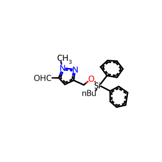 CCCC[Si](OCc1cc(C=O)n(C)n1)(c1ccccc1)c1ccccc1